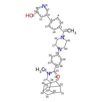 CC(c1ccc(-c2cncc(O)c2)cc1)N1CCN(c2ccc(C(=O)N(C)CC34CC5CC(CC(C5)C3)C4)cc2)CC1